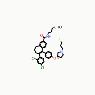 O=CCCCNC(=O)c1ccc2c(c1)CCCC(c1ccc(Cl)cc1Cl)=C2c1ccc(O[C@H]2CCN(CCCF)C2)cc1